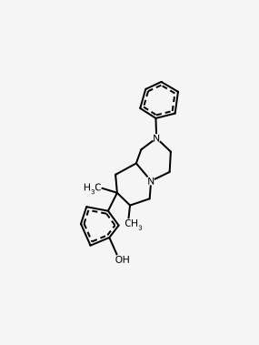 CC1CN2CCN(c3ccccc3)CC2CC1(C)c1cccc(O)c1